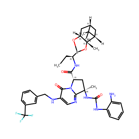 CC[C@H](NC(=O)[C@@H]1C[C@@](C)(NC(=O)Nc2ccccc2N)c2ncc(NCc3cccc(C(F)(F)F)c3)c(=O)n21)B1O[C@@H]2C[C@@H]3C[C@@H](C3(C)C)[C@]2(C)O1